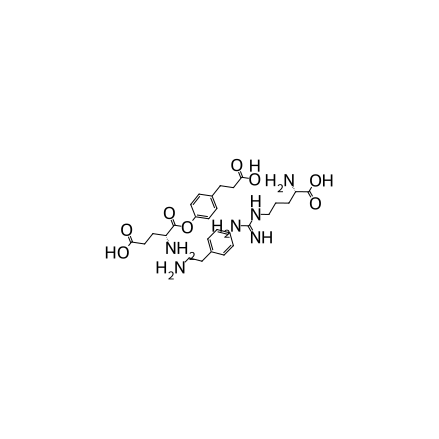 N=C(N)NCCC[C@H](N)C(=O)O.NCCc1ccccc1.N[C@H](CCC(=O)O)C(=O)Oc1ccc(CCC(=O)O)cc1